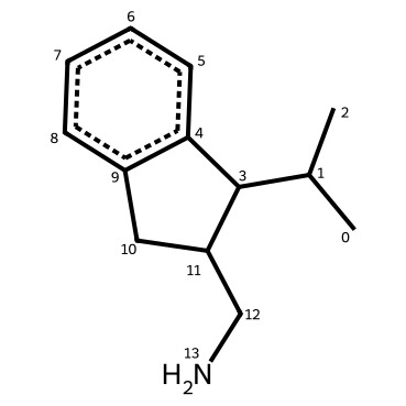 CC(C)C1c2ccccc2CC1CN